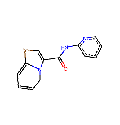 O=C(Nc1ccccn1)C1=CSC2=CC=CCN21